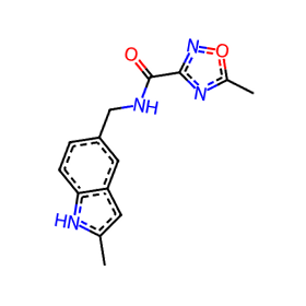 Cc1cc2cc(CNC(=O)c3noc(C)n3)ccc2[nH]1